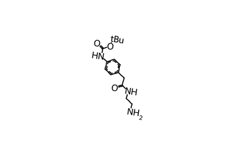 CC(C)(C)OC(=O)Nc1ccc(CC(=O)NCCN)cc1